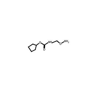 NOCCNC(=O)OC1CCCC1